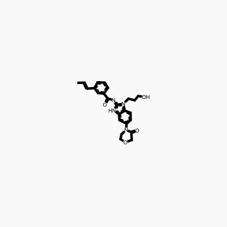 C/C=C/c1cccc(C(=O)/N=c2\[nH]c3cc(N4CCOCC4=O)ccc3n2CCCO)c1